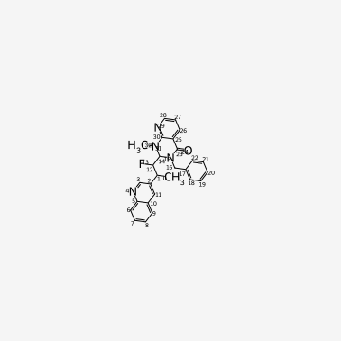 CC(c1cnc2ccccc2c1)C(F)C1N(Cc2ccccc2)C(=O)c2cccnc2N1C